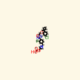 O=C(O)OC1CN(Cc2ccc(-c3noc(COCC4(c5ccc(Cl)cc5)CCC4)n3)c(F)c2)C1